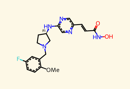 COc1ccc(F)cc1CN1CC[C@@H](Nc2cnc(C=CC(=O)NO)cn2)C1